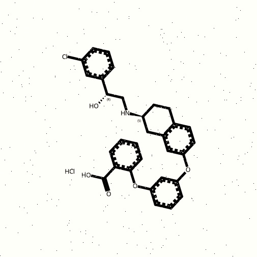 Cl.O=C(O)c1ccccc1Oc1cccc(Oc2ccc3c(c2)C[C@@H](NC[C@H](O)c2cccc(Cl)c2)CC3)c1